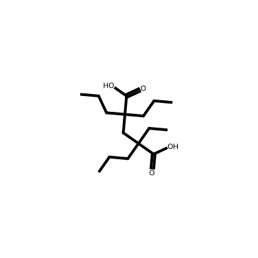 CCCC(CC)(CC(CCC)(CCC)C(=O)O)C(=O)O